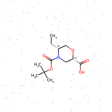 CC[C@@H]1CO[C@H](C(=O)O)CN1C(=O)OC(C)(C)C